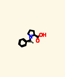 C[C@H](c1ccccc1)N1CCCC1C(=O)O